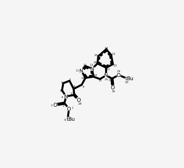 CC(C)(C)OC(=O)N1CCCC(Cc2ncn3c2CN(C(=O)OC(C)(C)C)c2ccccc2-3)C1=O